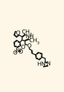 CC1=C(C(=O)OCC=Cc2ccc(Cc3ncc[nH]3)cc2)C(c2cccc([N+](=O)[O-])c2)C(c2ccco2)=C(C)N1